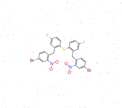 O=[N+]([O-])c1cc(Br)ccc1Cc1cc(F)ccc1Sc1ccc(F)cc1Cc1ccc(Br)cc1[N+](=O)[O-]